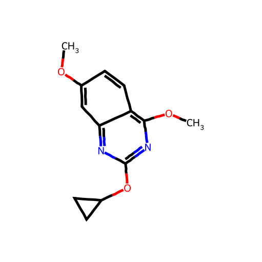 COc1ccc2c(OC)nc(OC3CC3)nc2c1